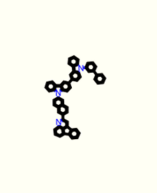 c1ccc(-c2cccc(-n3c4ccccc4c4cc(-c5ccc6c(c5)c5ccccc5n6-c5ccc6cc(-c7cc8c9c(cccc9n7)-c7ccccc7-8)ccc6c5)ccc43)c2)cc1